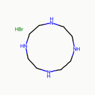 Br.C1CNCCNCCNCCN1